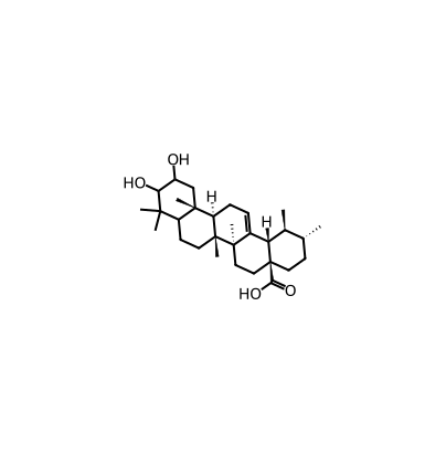 C[C@H]1[C@H](C)CC[C@]2(C(=O)O)CC[C@]3(C)C(=CC[C@@H]4[C@@]5(C)CC(O)C(O)C(C)(C)C5CC[C@]43C)[C@H]12